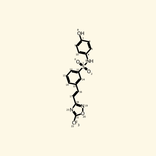 O=S(=O)(Nc1ccc(O)cc1)c1cccc(C=Cc2noc(C(F)(F)F)n2)c1